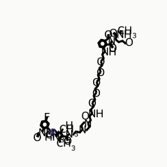 CNC(=O)C(CCC=O)N1C(=O)c2cccc(NCCOCCOCCOCCOCCOCCNC(=O)CN3CCN(CCCNC(=O)c4c(C)[nH]c(/C=C(\C)c5cc(F)ccc5NC=O)c4C)CC3)c2C1=O